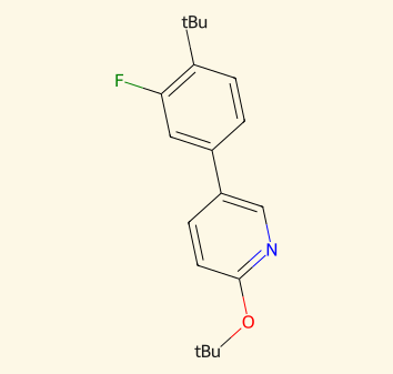 CC(C)(C)Oc1ccc(-c2ccc(C(C)(C)C)c(F)c2)cn1